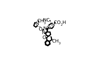 CC1C[C@]2(CCc3c(nc(OC[C@@H]4CCCN4C)nc3N3CCN(C(=O)O)[C@@H](CC#N)C3)C2=O)Cc2ccccc21